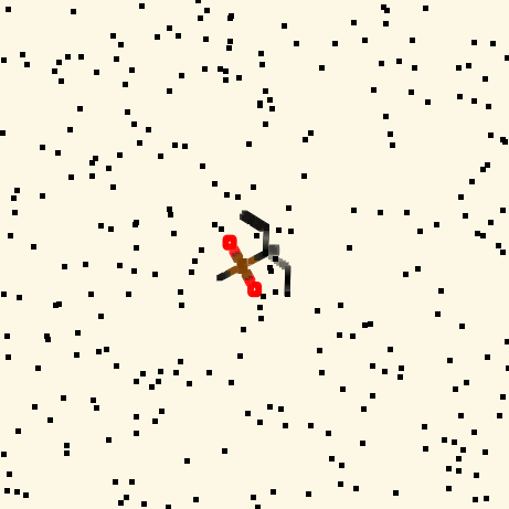 C=C[C@H](CC)S(C)(=O)=O